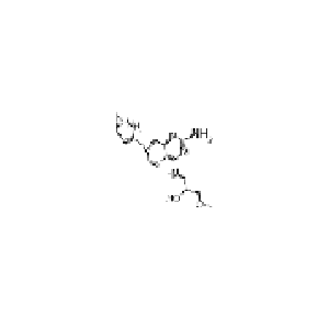 COCC(O)CNc1nc(N)nc2cc(-c3ccn[nH]3)ccc12